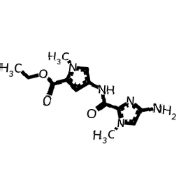 CCOC(=O)c1cc(NC(=O)c2nc(N)cn2C)cn1C